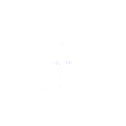 O=C1NC(CC2C=CC(OCCC3CO3)=CC2)C(=O)NC1Cc1ccc(OCCC2CO2)cc1